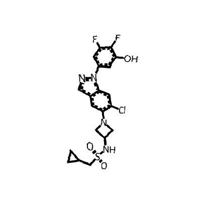 O=S(=O)(CC1CC1)NC1CN(c2cc3cnn(-c4cc(O)c(F)c(F)c4)c3cc2Cl)C1